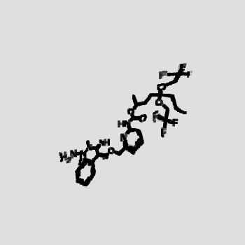 CCCC(CCC(C)OC(=O)Nc1cccc(CO/N=C(\C(=N)N(C)NN)c2ccccc2)n1)(OCC(F)(F)F)OCC(F)(F)F